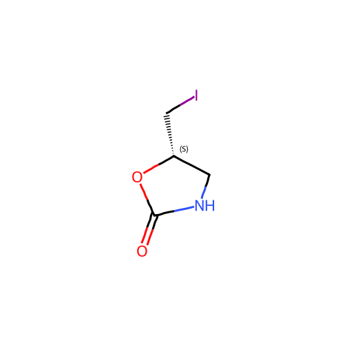 O=C1NC[C@@H](CI)O1